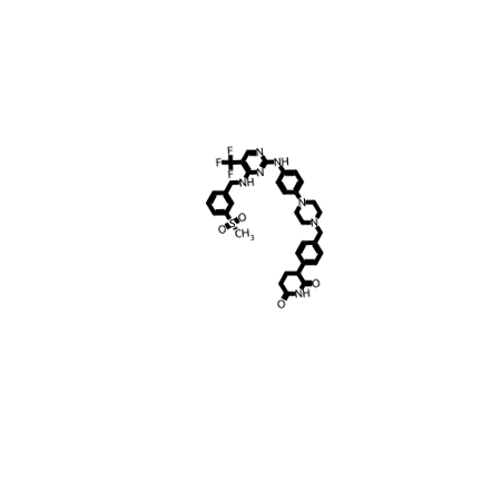 CS(=O)(=O)c1cccc(CNc2nc(Nc3ccc(N4CCN(Cc5ccc(C6CCC(=O)NC6=O)cc5)CC4)cc3)ncc2C(F)(F)F)c1